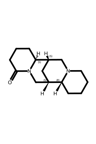 O=C1CCC[C@H]2[C@H]3C[C@@H](CN12)[C@H]1CCCCN1C3